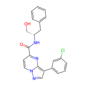 O=C(N[C@H](CO)Cc1ccccc1)c1ccn2ncc(-c3cccc(Cl)c3)c2n1